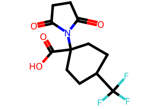 O=C1CCC(=O)N1C1(C(=O)O)CCC(C(F)(F)F)CC1